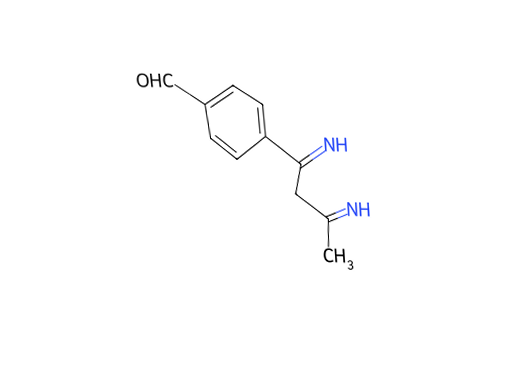 CC(=N)CC(=N)c1ccc(C=O)cc1